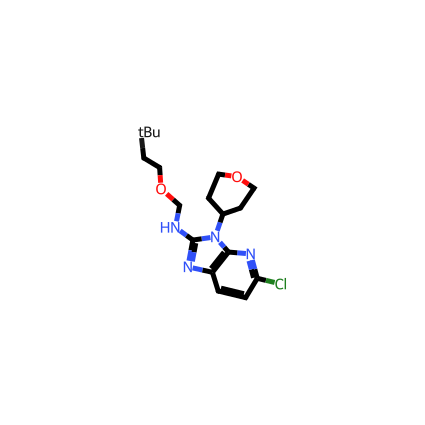 CC(C)(C)CCOCNc1nc2ccc(Cl)nc2n1C1CCOCC1